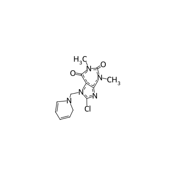 Cn1c(=O)c2c(nc(Cl)n2CN2C=CC=CC2)n(C)c1=O